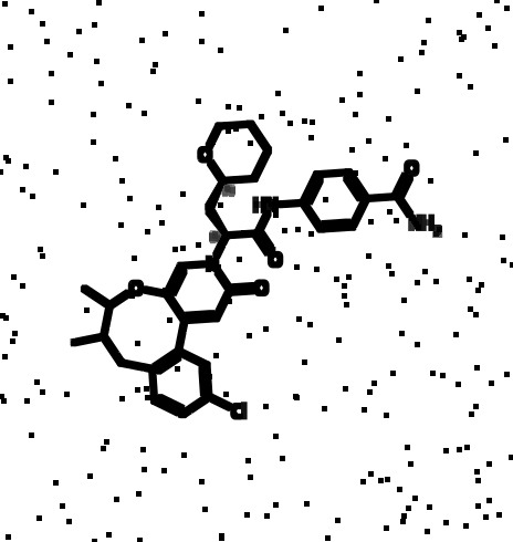 CC1Cc2ccc(Cl)cc2-c2cc(=O)n([C@@H](C[C@@H]3CCCCO3)C(=O)Nc3ccc(C(N)=O)cc3)cc2OC1C